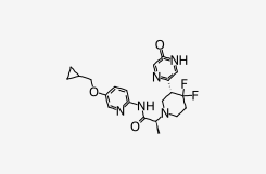 C[C@@H](C(=O)Nc1ccc(OCC2CC2)cn1)N1CCC(F)(F)[C@@H](c2c[nH]c(=O)cn2)C1